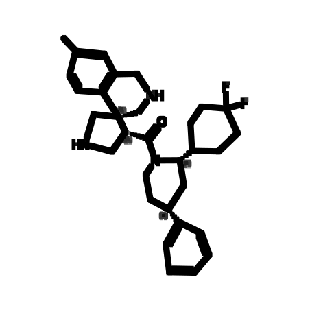 Cc1ccc2c(c1)CNC[C@]21CNC[C@H]1C(=O)N1CC[C@@H](c2ccccc2)C[C@H]1C1CCC(F)(F)CC1